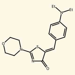 CCN(CC)c1ccc(/C=C2\SC(N3CCOCC3)=NC2=O)cc1